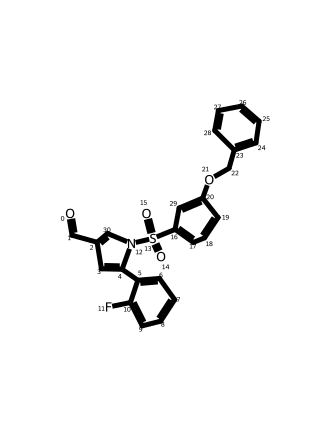 O=Cc1cc(-c2ccccc2F)n(S(=O)(=O)c2cccc(OCc3ccccc3)c2)c1